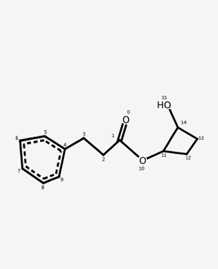 O=C(CCc1ccccc1)OC1CCC1O